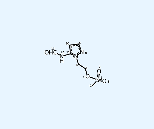 CS(=O)(=O)OCCn1nccc1NC=O